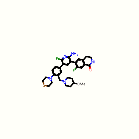 COC1CCN(Cc2cc(-c3cc(-c4cc5c(cc4F)C(=O)NCC5)c(N)nc3F)ccc2N2CCSCC2)CC1